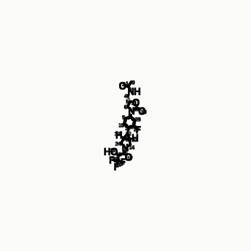 CC(=O)NC[C@H]1CN(c2ccc([C@H]3[C@@H]4CN(C(=O)[C@@H](O)C(F)(F)F)C[C@@H]43)c(F)c2)C(=O)O1